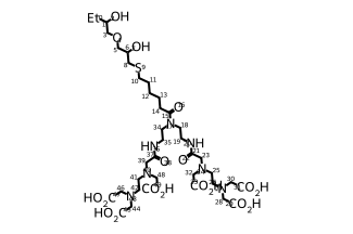 CCC(O)COCC(O)CSCCCCCC(=O)N(CCNC(=O)CN(CCN(CC(=O)O)CC(=O)O)CC(=O)O)CCNC(=O)CN(CCN(CC(=O)O)CC(=O)O)CC(=O)O